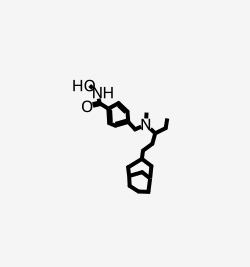 CCC(CCC1CC2CCCC(C2)C1)N(C)Cc1ccc(C(=O)NO)cc1